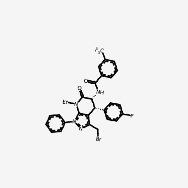 CCN1C(=O)[C@H](NC(=O)c2cccc(C(F)(F)F)c2)[C@H](c2ccc(F)cc2)c2c(CBr)nn(-c3ccccc3)c21